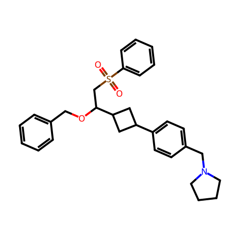 O=S(=O)(CC(OCc1ccccc1)C1CC(c2ccc(CN3CCCC3)cc2)C1)c1ccccc1